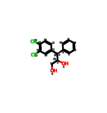 OC[C@H](O)[C@H](c1ccccc1)c1ccc(Cl)c(Cl)c1